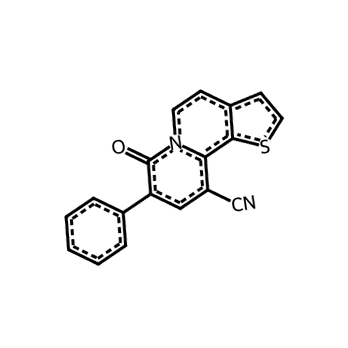 N#Cc1cc(-c2ccccc2)c(=O)n2ccc3ccsc3c12